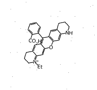 CC[N+]1=c2cc3c(cc2CCC1)=C(c1ccccc1C(=O)O)c1cc2c(cc1O3)NCCC2